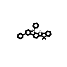 CC1(C)c2ccccc2-c2oc3c(ccc4c5cc(-c6ccccc6)ccc5n(-c5ccccc5)c43)c21